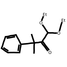 CCOC(OCC)C(=O)C(C)(C)c1ccccc1